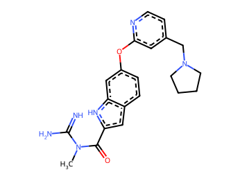 CN(C(=N)N)C(=O)c1cc2ccc(Oc3cc(CN4CCCC4)ccn3)cc2[nH]1